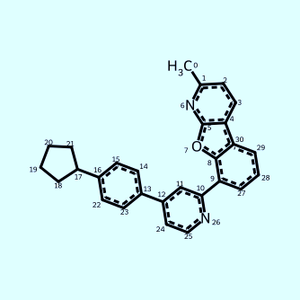 Cc1ccc2c(n1)oc1c(-c3cc(-c4ccc(C5CCCC5)cc4)ccn3)cccc12